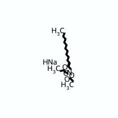 CCCCCCCCCCCC=CCN(OC(=O)CC)OC(=O)CC.[NaH]